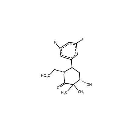 CC1(C)C(=O)N(CC(=O)O)[C@@H](c2cc(F)cc(F)c2)C[C@@H]1O